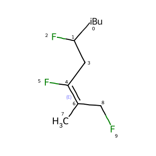 CCC(C)C(F)C/C(F)=C(/C)CF